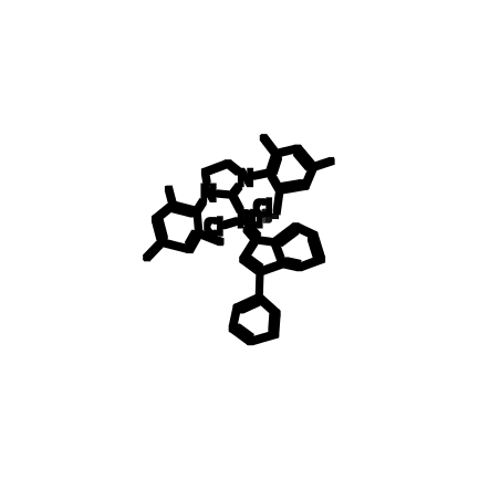 Cc1cc(C)c(N2CCN(c3c(C)cc(C)cc3C)[CH]2[Ru-3]([Cl])([Cl])=[C]2C=C(c3ccccc3)c3ccccc32)c(C)c1